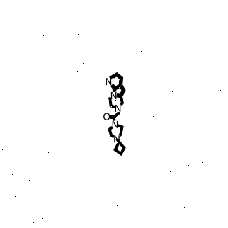 O=C(CN1CCn2c(cc3cccnc32)C1)N1CCN(C2CCC2)CC1